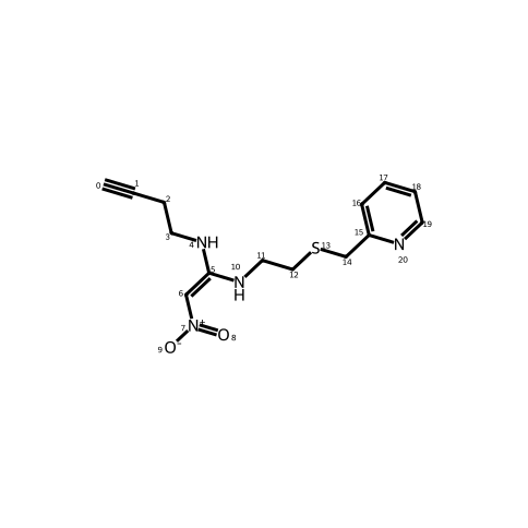 C#CCCN/C(=C/[N+](=O)[O-])NCCSCc1ccccn1